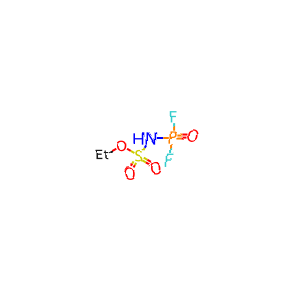 CCOS(=O)(=O)NP(=O)(F)F